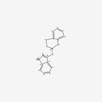 c1ccc2c(c1)CCN(Cc1n[nH]c3ccccc13)C2